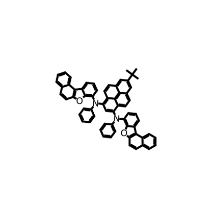 CC(C)(C)c1cc2ccc3c(N(c4ccccc4)c4cccc5c4oc4ccc6ccccc6c45)cc(N(c4ccccc4)c4cccc5c4oc4ccc6ccccc6c45)c4ccc(c1)c2c34